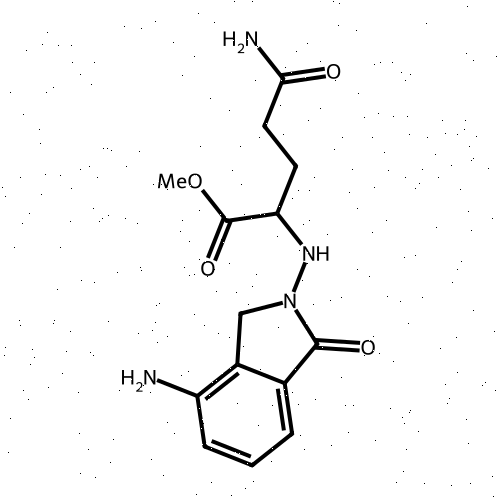 COC(=O)C(CCC(N)=O)NN1Cc2c(N)cccc2C1=O